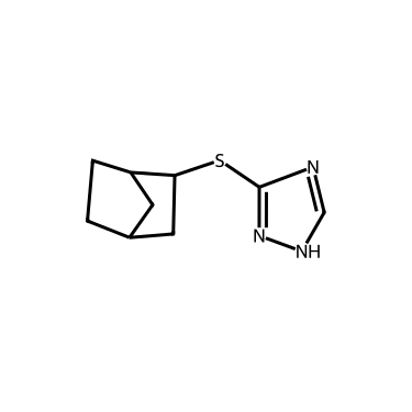 c1nc(SC2CC3CCC2C3)n[nH]1